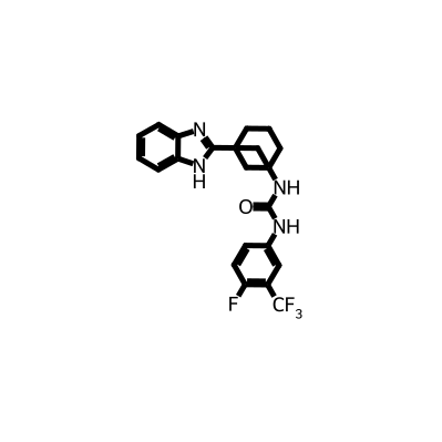 O=C(Nc1ccc(F)c(C(F)(F)F)c1)NC12CCCC(c3nc4ccccc4[nH]3)(C1)C2